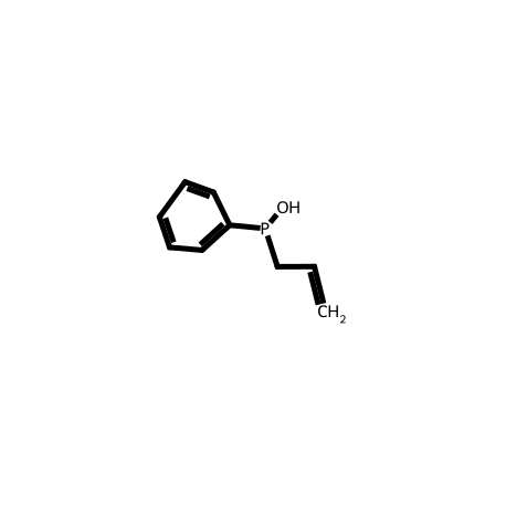 C=CCP(O)c1ccccc1